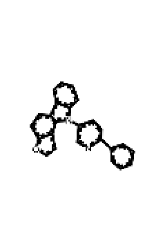 c1ccc(-c2ccc(-n3c4ccccc4c4ccc5occc5c43)cn2)cc1